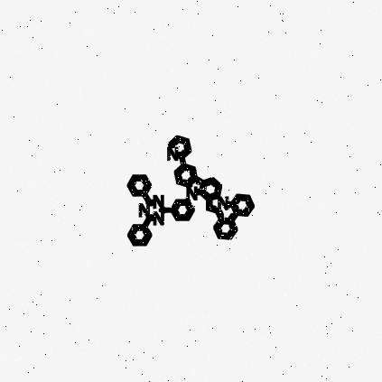 c1ccc(-c2nc(-c3ccccc3)nc(-c3cccc(-n4c5ccc(-c6ccccn6)cc5c5ccc6c(cc7c8ccccc8c8ccccc8n76)c54)c3)n2)cc1